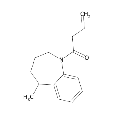 C=CCC(=O)N1CCCC(C)c2ccccc21